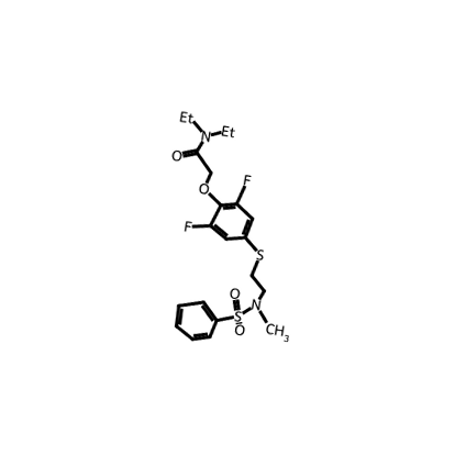 CCN(CC)C(=O)COc1c(F)cc(SCCN(C)S(=O)(=O)c2ccccc2)cc1F